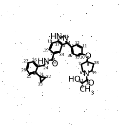 C[C@H](O)C(=O)N1CCC(Oc2ccc(-c3n[nH]c4ccc(C(=O)NCc5ccccc5C5CC5)cc34)cc2)CC1